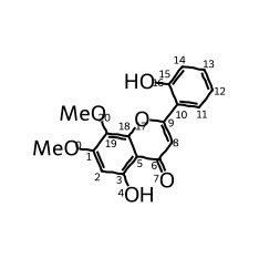 COc1cc(O)c2c(=O)cc(-c3ccccc3O)oc2c1OC